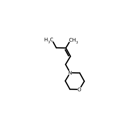 CC/C(C)=C\CN1CCOCC1